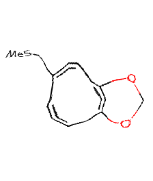 CSc1ccc2c(c1)OCO2